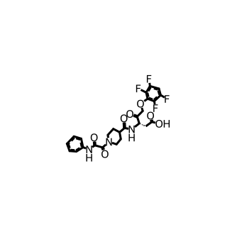 O=C(O)C[C@H](NC(=O)C1CCN(C(=O)C(=O)Nc2ccccc2)CC1)C(=O)COc1c(F)c(F)cc(F)c1F